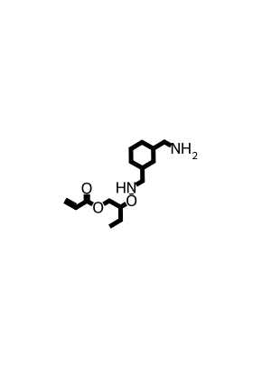 C=CC(=O)OCC(CC)ONCC1CCCC(CN)C1